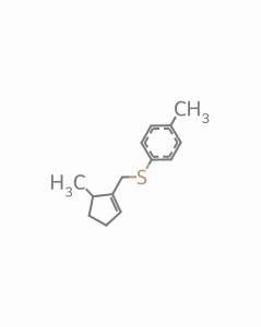 Cc1ccc(SCC2=CCCC2C)cc1